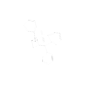 CCS(=O)(=O)C1(c2ccccc2)C2C[N+]1(C(c1ccccc1)c1ccccc1)C2